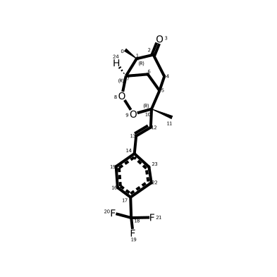 C[C@H]1C(=O)CC2C[C@H]1OO[C@@]2(C)C=Cc1ccc(C(F)(F)F)cc1